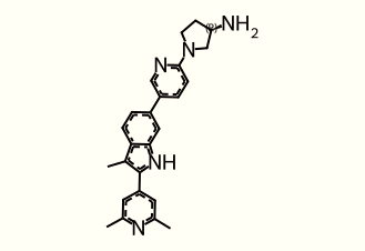 Cc1cc(-c2[nH]c3cc(-c4ccc(N5CC[C@@H](N)C5)nc4)ccc3c2C)cc(C)n1